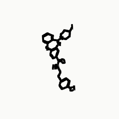 O=C(NCCc1ccc(Cl)cc1)c1ccc2c(c1)N=C(N1CCC(I)CC1)c1ccccc1S2